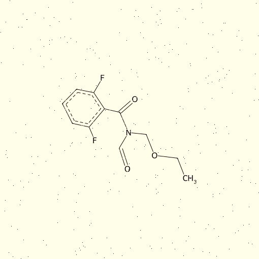 CCOCN(C=O)C(=O)c1c(F)cccc1F